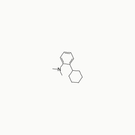 CN(C)c1ccccc1C1CCCCC1